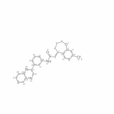 O=C(C=C1CCCOc2cc(C(F)(F)F)ccc21)Nc1cccc(-c2cnc3ccccc3n2)c1